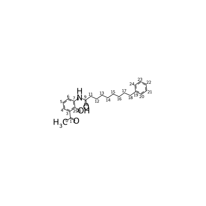 CC(=O)c1cccc(NC(=O)CCCCCCCCc2ccccc2)c1O